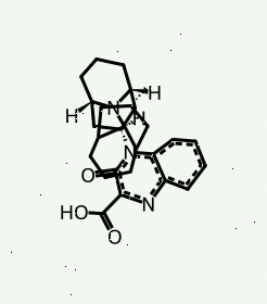 C[C@H]1CC2CCCC(C1)[C@@H]2N1[C@@H]2CCC[C@H]1C[C@@H](n1c(=O)c(C(=O)O)nc3ccccc31)C2